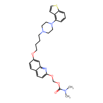 CN(C)C(=O)OCOc1ccc2ccc(OCCCCN3CCN(c4cccc5sccc45)CC3)cc2n1